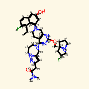 CCc1c(F)ccc2cc(O)cc(N3CCc4c(nc(OC[C@@]56CCCN5C[C@H](F)C6)nc4N4CCCn5nc(CC(=O)N(C)C)cc5C4)C3)c12